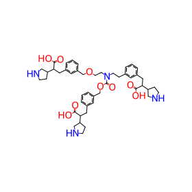 O=C(O)C(Cc1cccc(CCN(CCOCc2cccc(CC(C(=O)O)C3CCNC3)c2)C(=O)OCc2cccc(CC(C(=O)O)C3CCNC3)c2)c1)C1CCNC1